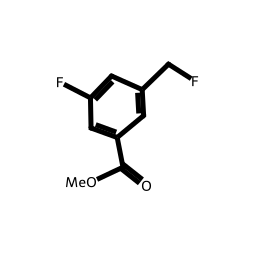 COC(=O)c1cc(F)cc(CF)c1